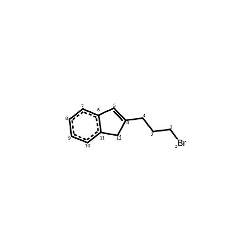 BrCCCC1=Cc2ccccc2[CH]1